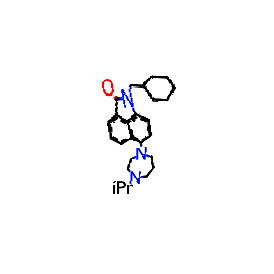 CC(C)N1CCCN(c2ccc3c4c(cccc24)C(=O)N3CC2CCCCC2)CC1